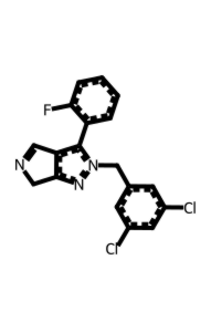 Fc1ccccc1-c1c2c(nn1Cc1cc(Cl)cc(Cl)c1)CN=C2